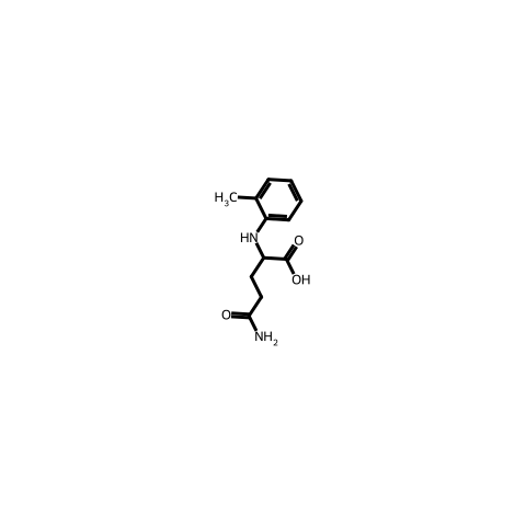 Cc1ccccc1NC(CCC(N)=O)C(=O)O